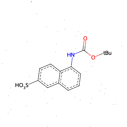 CC(C)(C)OC(=O)Nc1cccc2cc(S(=O)(=O)O)ccc12